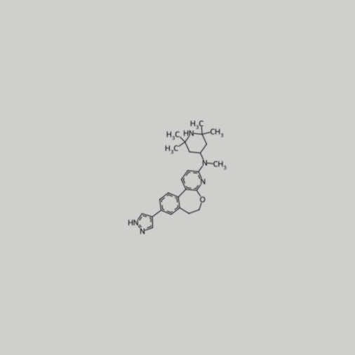 CN(c1ccc2c(n1)OCCc1cc(-c3cn[nH]c3)ccc1-2)C1CC(C)(C)NC(C)(C)C1